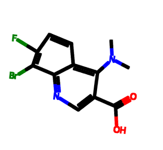 CN(C)c1c(C(=O)O)cnc2c(Br)c(F)ccc12